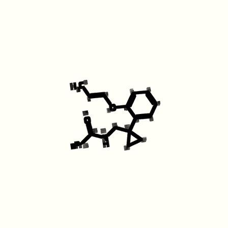 CC=COc1ccccc1C1(CNC(=O)CCC)CC1